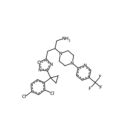 NCC(Cc1nc(C2(c3ccc(Cl)cc3Cl)CC2)no1)N1CCN(c2ccc(C(F)(F)F)cn2)CC1